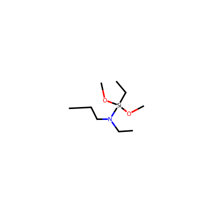 CCCN(CC)[Si](CC)(OC)OC